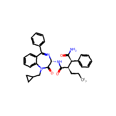 NC(=O)[C@@H](c1ccccc1)[C@@H](CCC(F)(F)F)C(=O)N[C@H]1N=C(c2ccccc2)c2ccccc2N(CC2CC2)C1=O